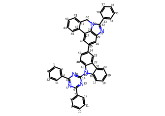 c1ccc(-c2nc(-c3ccccc3)nc(-n3c4ccccc4c4cc(-c5cc6c7c(c5)nc(-c5ccccc5)n7Cc5ccccc5-6)ccc43)n2)cc1